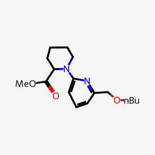 CCCCOCc1cccc(N2CCCCC2C(=O)OC)n1